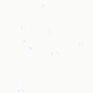 CCCC1=NN(c2ccc(S(=O)(=O)NC(C)(C)C)cc2)C(=O)C1=CNc1ccccc1OCC.CCOc1ccccc1N